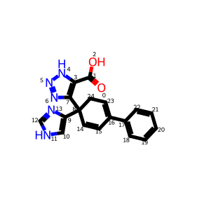 O=C(O)c1[nH]nnc1C1(c2c[nH]cn2)C=CC(c2ccccc2)=CC1